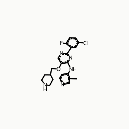 Cc1cnccc1Nc1nc(-c2cc(Cl)ccc2F)ncc1OCC1CCNCC1